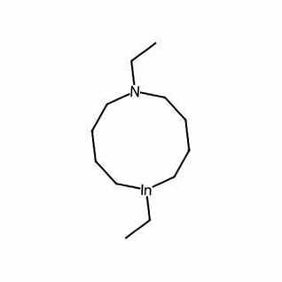 CCN1CCC[CH2][In]([CH2]C)[CH2]CCC1